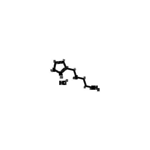 Cl.NCCSCc1ccsn1